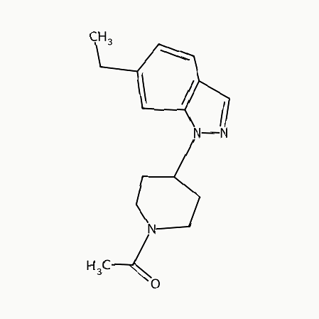 CCc1ccc2cnn(C3CCN(C(C)=O)CC3)c2c1